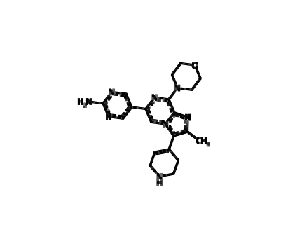 Cc1nc2c(N3CCOCC3)nc(-c3cnc(N)nc3)cn2c1C1=CCNCC1